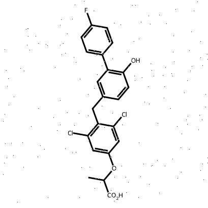 CC(Oc1cc(Cl)c(Cc2ccc(O)c(-c3ccc(F)cc3)c2)c(Cl)c1)C(=O)O